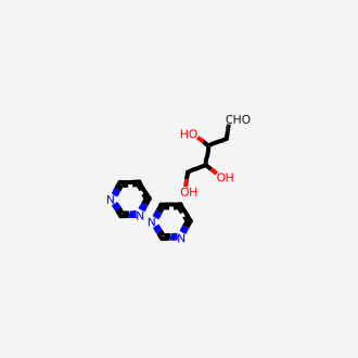 O=CCC(O)C(O)CO.c1cncnc1.c1cncnc1